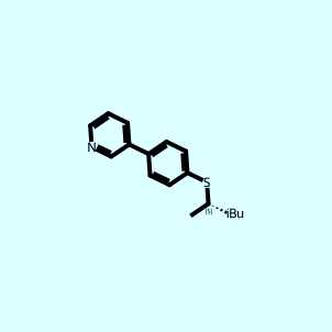 CCC(C)[C@H](C)Sc1ccc(-c2cccnc2)cc1